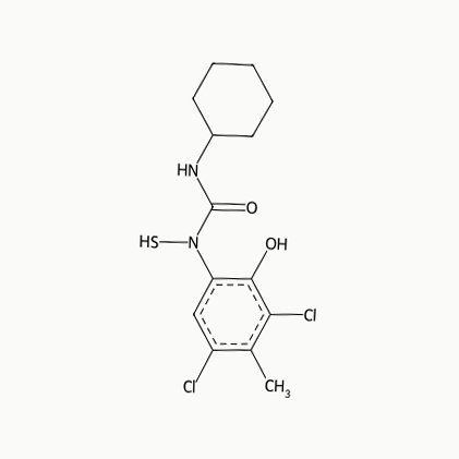 Cc1c(Cl)cc(N(S)C(=O)NC2CCCCC2)c(O)c1Cl